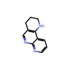 c1cnc2ncc3c(c2c1)NCCC3